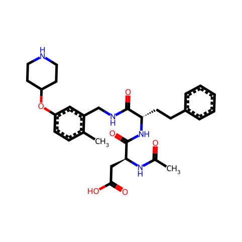 CC(=O)N[C@@H](CC(=O)O)C(=O)N[C@@H](CCc1ccccc1)C(=O)NCc1cc(OC2CCNCC2)ccc1C